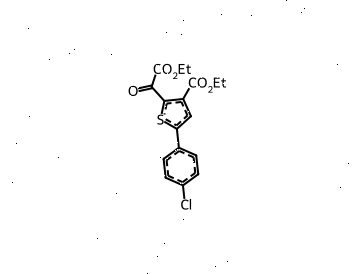 CCOC(=O)C(=O)c1sc(-c2ccc(Cl)cc2)cc1C(=O)OCC